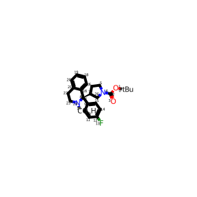 CC(C)(C)OC(=O)N1CCC([C@]2(c3ccc(F)cc3)c3ccccc3CCN2C(=O)O)C1